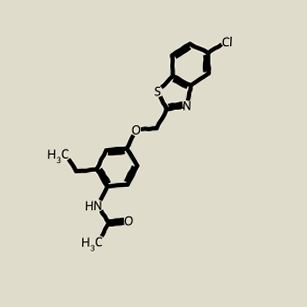 CCc1cc(OCc2nc3cc(Cl)ccc3s2)ccc1NC(C)=O